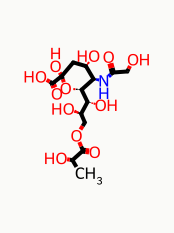 CC(O)C(=O)OC[C@@H](O)[C@@H](O)[C@@H]1OC(O)(C(=O)O)C[C@H](O)[C@H]1NC(=O)CO